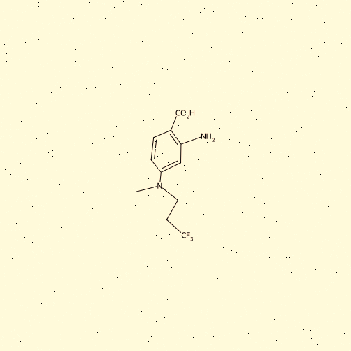 CN(CCC(F)(F)F)c1ccc(C(=O)O)c(N)c1